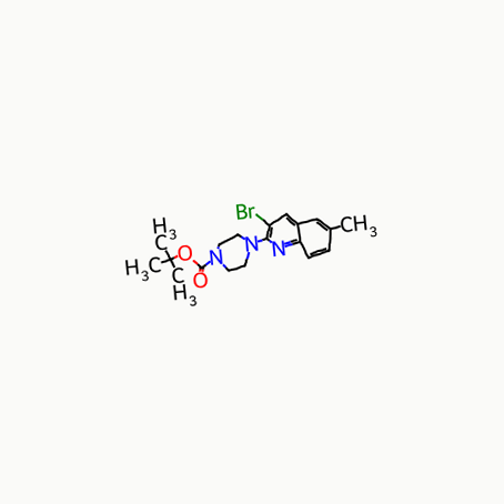 Cc1ccc2nc(N3CCN(C(=O)OC(C)(C)C)CC3)c(Br)cc2c1